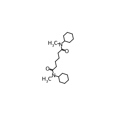 CN(C(=O)CCCCC(=O)N(C)C1CCCCC1)C1CCCCC1